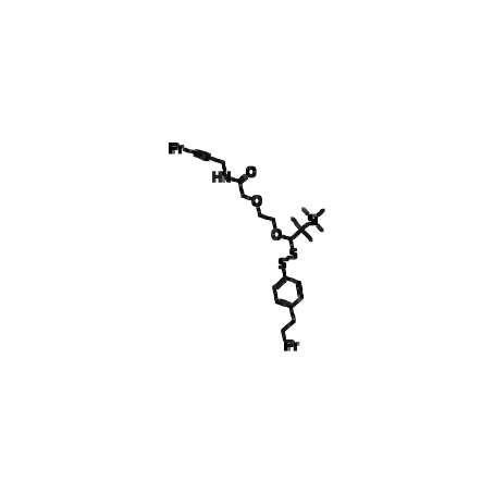 CC(C)C#CCNC(=O)COCCOC(SSc1ccc(CCC(C)C)cc1)C(C)(C)[Si](C)(C)C